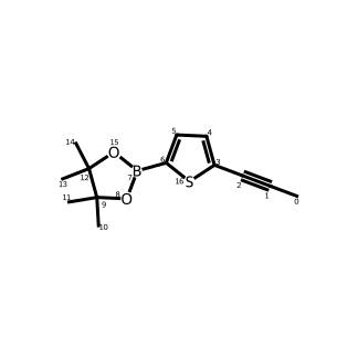 CC#Cc1ccc(B2OC(C)(C)C(C)(C)O2)s1